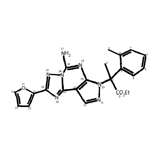 CCOC(=O)C(C)(c1ccccc1C)n1ncc2c1nc(N)n1nc(-c3ccco3)nc21